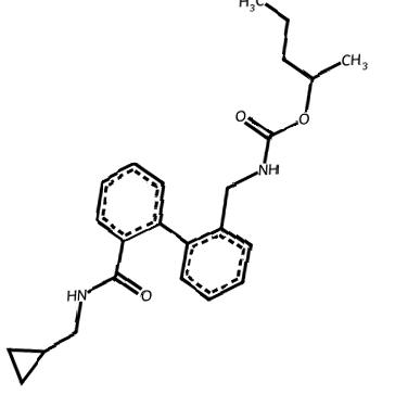 CCCC(C)OC(=O)NCc1ccccc1-c1ccccc1C(=O)NCC1CC1